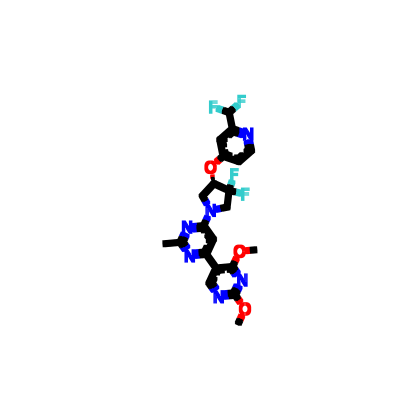 COc1ncc(-c2cc(N3C[C@H](Oc4ccnc(C(F)F)c4)C(F)(F)C3)nc(C)n2)c(OC)n1